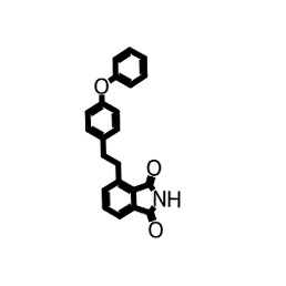 O=C1NC(=O)c2c(CCc3ccc(Oc4ccccc4)cc3)cccc21